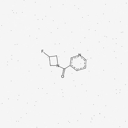 O=C(c1cccnc1)N1CC(F)C1